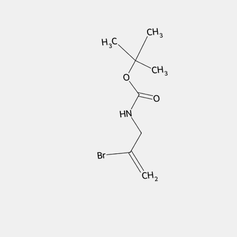 C=C(Br)CNC(=O)OC(C)(C)C